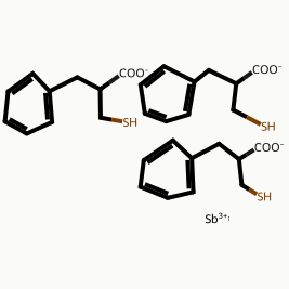 O=C([O-])C(CS)Cc1ccccc1.O=C([O-])C(CS)Cc1ccccc1.O=C([O-])C(CS)Cc1ccccc1.[Sb+3]